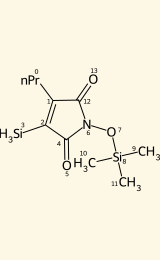 CCCC1=C([SiH3])C(=O)N(O[Si](C)(C)C)C1=O